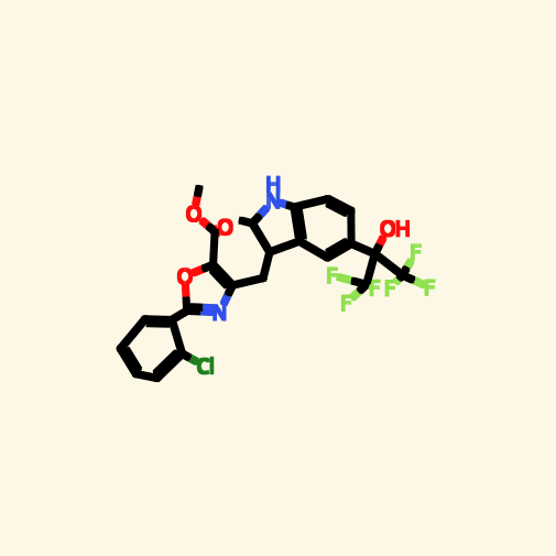 COC(=O)c1oc(-c2ccccc2Cl)nc1CC1c2cc(C(O)(C(F)(F)F)C(F)(F)F)ccc2NC1C